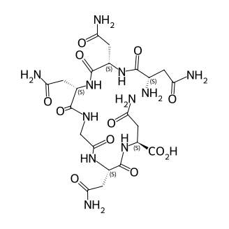 NC(=O)C[C@H](NC(=O)[C@H](CC(N)=O)NC(=O)CNC(=O)[C@H](CC(N)=O)NC(=O)[C@H](CC(N)=O)NC(=O)[C@@H](N)CC(N)=O)C(=O)O